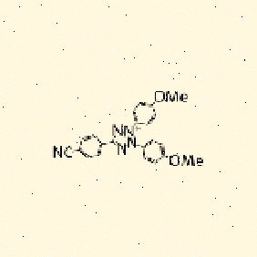 COc1ccc(-n2nc(-c3ccc(C#N)cc3)n[n+]2-c2ccc(OC)cc2)cc1